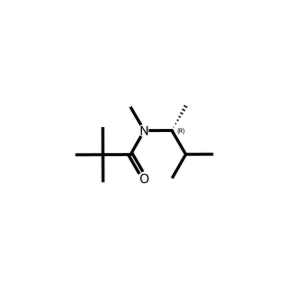 CC(C)[C@@H](C)N(C)C(=O)C(C)(C)C